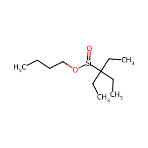 CCCCO[Si](=O)C(CC)(CC)CC